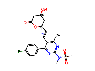 CC(C)c1nc(N(C)S(C)(=O)=O)nc(-c2ccc(F)cc2)c1/C=C/[C@@H]1C[C@H](O)CC(=O)O1